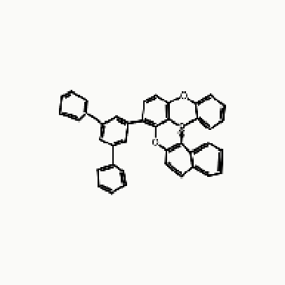 O=P12c3ccccc3Oc3ccc(-c4cc(-c5ccccc5)cc(-c5ccccc5)c4)c(c31)Oc1ccc3ccccc3c12